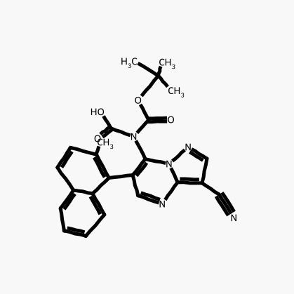 Cc1ccc2ccccc2c1-c1cnc2c(C#N)cnn2c1N(C(=O)O)C(=O)OC(C)(C)C